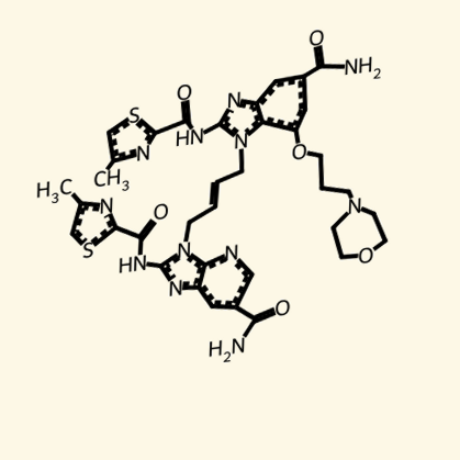 Cc1csc(C(=O)Nc2nc3cc(C(N)=O)cnc3n2CC=CCn2c(NC(=O)c3nc(C)cs3)nc3cc(C(N)=O)cc(OCCCN4CCOCC4)c32)n1